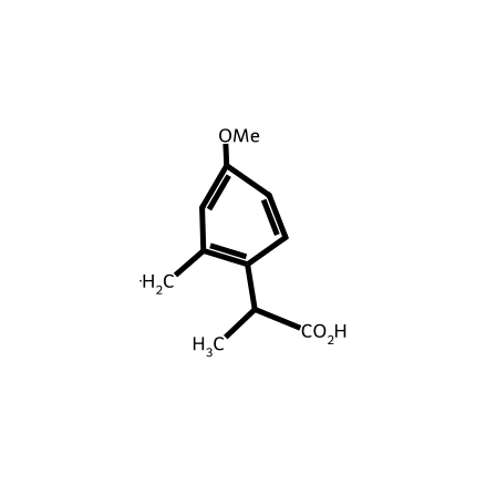 [CH2]c1cc(OC)ccc1C(C)C(=O)O